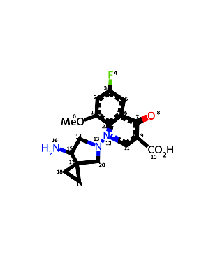 COc1cc(F)cc2c(=O)c(C(=O)O)cn(N3CC(N)C4(CC4)C3)c12